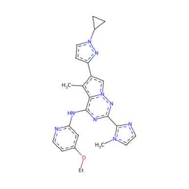 CCOc1ccnc(Nc2nc(-c3nccn3C)nn3cc(-c4ccn(C5CC5)n4)c(C)c23)c1